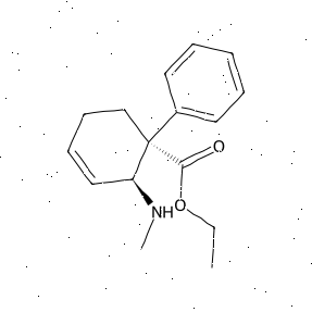 CCOC(=O)[C@@]1(c2ccccc2)CCC=C[C@@H]1NC